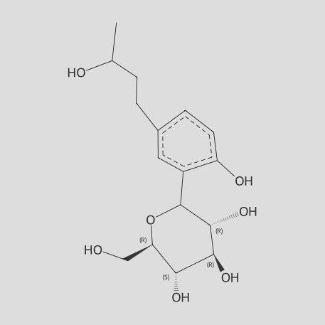 CC(O)CCc1ccc(O)c(C2O[C@H](CO)[C@@H](O)[C@H](O)[C@H]2O)c1